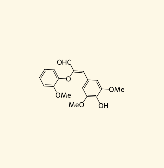 COc1ccccc1O/C(C=O)=C\c1cc(OC)c(O)c(OC)c1